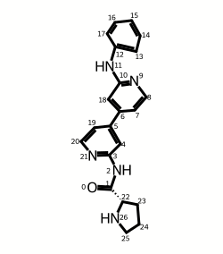 O=C(Nc1cc(-c2ccnc(Nc3ccccc3)c2)ccn1)[C@@H]1CCCN1